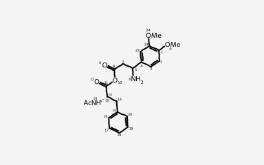 COc1ccc(C(N)CC(=O)OC(=O)[C@H](Cc2ccccc2)NC(C)=O)cc1OC